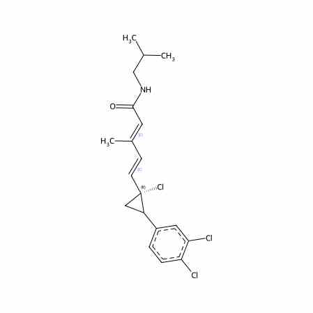 CC(/C=C/[C@]1(Cl)CC1c1ccc(Cl)c(Cl)c1)=C\C(=O)NCC(C)C